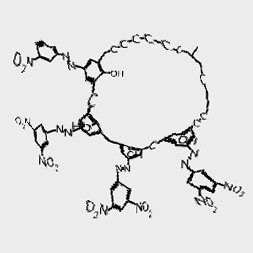 CC1CCCCCCCCc2cc(N=Nc3cccc([N+](=O)[O-])c3)cc(c2O)Cc2cc(N=Nc3cc([N+](=O)[O-])cc([N+](=O)[O-])c3)cc(c2O)Cc2cc(N=Nc3cc([N+](=O)[O-])cc([N+](=O)[O-])c3)cc(c2O)Cc2cc(N=Nc3cc([N+](=O)[O-])cc([N+](=O)[O-])c3)cc(c2O)CCCCCC1